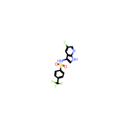 O=S(=O)(Nc1c[nH]c2ncc(F)cc12)c1ccc(C(F)(F)F)cc1